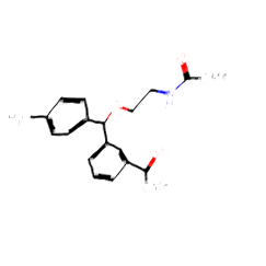 COC(=O)NCCOC(c1ccc(C)cc1)c1cccc(C(=O)OC)c1